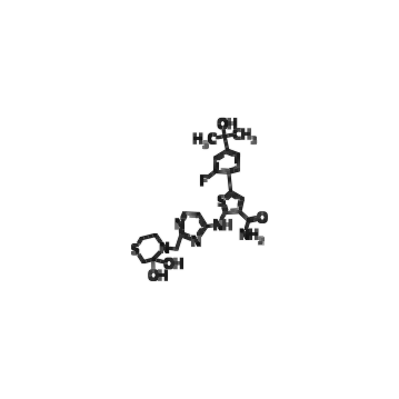 CC(C)(O)c1ccc(-c2cc(C(N)=O)c(Nc3ccnc(CN4CCSCC4(O)O)n3)s2)c(F)c1